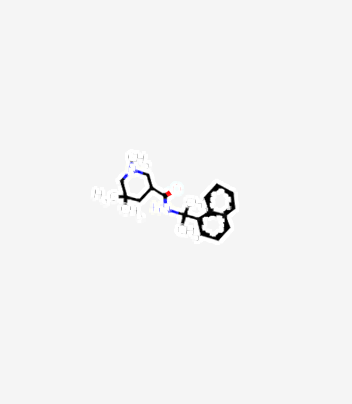 CN1CC(C(=O)NC(C)(C)c2cccc3ccccc23)CC(C)(C)C1